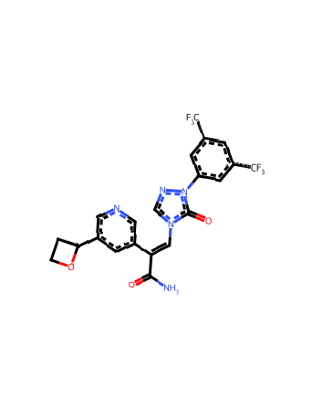 NC(=O)/C(=C/n1cnn(-c2cc(C(F)(F)F)cc(C(F)(F)F)c2)c1=O)c1cncc(C2CCO2)c1